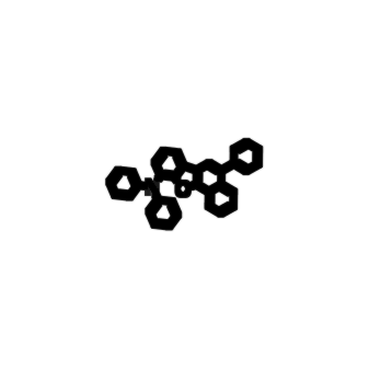 c1ccc(-c2cc3c4cccc(N(c5ccccc5)c5ccccc5)c4oc3c3ccccc23)cc1